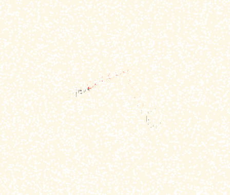 [Ge+4].[Ge+4].[In+3].[In+3].[O-2].[O-2].[O-2].[O-2].[O-2].[O-2].[O-2].[O-2].[O-2].[O-2].[O-2].[Sn+4].[Sn+4]